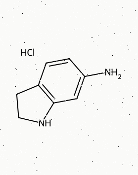 Cl.Nc1ccc2c(c1)NCC2